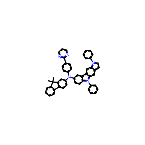 CC1(C)c2ccccc2-c2ccc(N(c3ccc(-c4ncccn4)cc3)c3ccc4c(c3)c3cc5c(ccn5-c5ccccc5)cc3n4-c3ccccc3)cc21